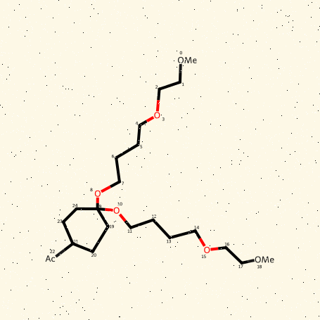 COCCOCCCCOC1(OCCCCOCCOC)CCC(C(C)=O)CC1